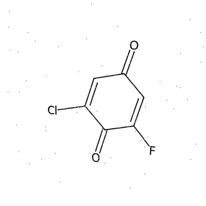 O=C1C=C(F)C(=O)C(Cl)=C1